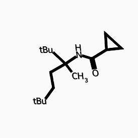 CC(C)(C)CCC(C)(NC(=O)C1CC1)C(C)(C)C